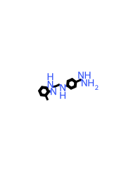 Cc1cccc2[nH]c(CNc3ccc(C(=N)N)cc3)nc12